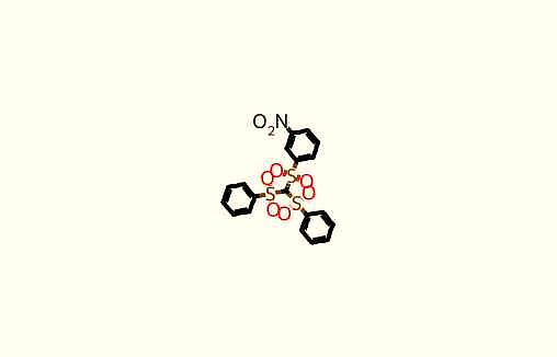 O=[N+]([O-])c1cccc(S(=O)(=O)C(S(=O)(=O)c2ccccc2)S(=O)(=O)c2ccccc2)c1